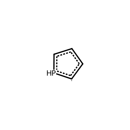 [c]1ccc[pH]1